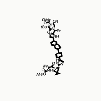 CC[C@@H](c1ncc(-c2ccc3cc(-c4ccc(-c5cnc([C@@H]6CC7(CC7)CN6C(=O)[C@@H](NC(=O)OC)C(C)C)[nH]5)cc4)ccc3c2)[nH]1)N(CCC#N)C(=O)[C@@H](NC(=O)OC)C(C)(C)C